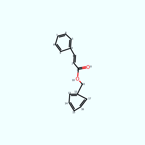 O=C(C=Cc1ccccc1)OCc1ccccc1